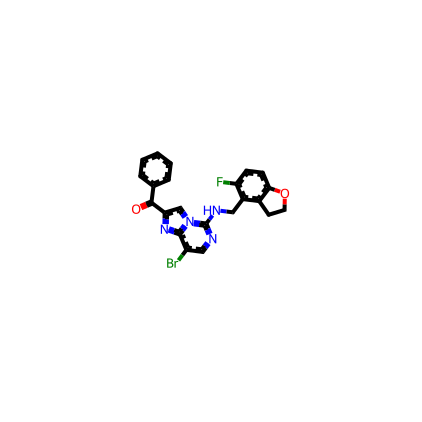 O=C(c1ccccc1)c1cn2c(NCc3c(F)ccc4c3CCO4)ncc(Br)c2n1